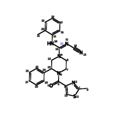 Cc1nc(C(=O)N2CCN(/C(=N\C#N)Nc3ccccc3C)CC2c2ccccc2)cs1